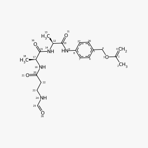 C=C(C)OCc1ccc(NC(=O)[C@H](C)NC(=O)[C@H](C)NC(=O)CCNC=O)cc1